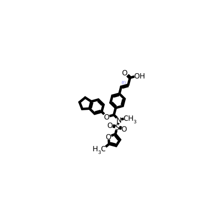 Cc1ccc(S(=O)(=O)N(C)C(Oc2ccc3c(c2)CCC3)c2ccc(/C=C/C(=O)O)cc2)o1